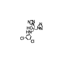 OC(CNc1cc(Cl)cc(Cl)c1)(Cn1cncn1)Cn1cncn1